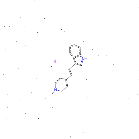 CN1C=CC(/C=C/c2c[nH]c3ccccc23)=CC1.I